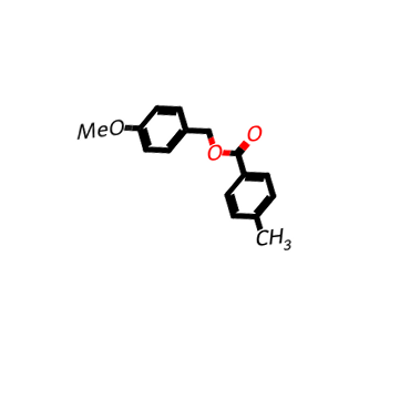 COc1ccc(COC(=O)c2ccc(C)cc2)cc1